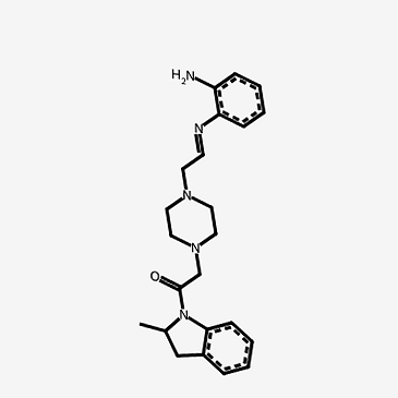 CC1Cc2ccccc2N1C(=O)CN1CCN(C/C=N/c2ccccc2N)CC1